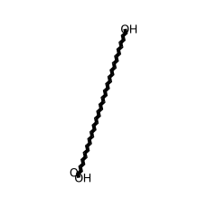 O=C(O)CCCCCCCCCCCCCCCCCCCCCCCCCCCCCCCCCCCCCCCCCO